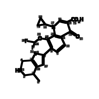 CC1CNCc2sc(-c3ccc4c(=O)c(C(=O)O)cn(C5CC5)c4c3OC(F)F)cc21